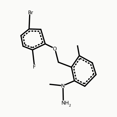 Cc1cccc(N(C)N)c1COc1cc(Br)ccc1F